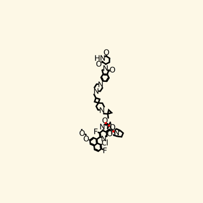 COCOc1cc(-c2ncc3c(N4CC5CCC(C4)N5C(=O)OC(C)(C)C)nc(OCC4(CN5CCC6(CC5)CC(CN5CCN(c7ccc8c(c7)CN([C@H]7CCC(=O)NC7=O)C8=O)CC5)C6)CC4)nc3c2F)c2c(Cl)c(F)ccc2c1